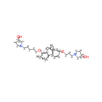 C=C(/C(C)=C(\C)OCCCCCN1CC[C@@H](O)C1)c1ccc(OCCCN2CC[C@@H](O)C2)cc1C